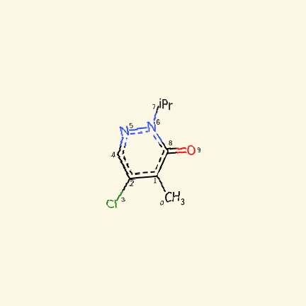 Cc1c(Cl)cnn(C(C)C)c1=O